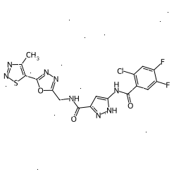 Cc1nnsc1-c1nnc(CNC(=O)c2cc(NC(=O)c3cc(F)c(F)cc3Cl)[nH]n2)o1